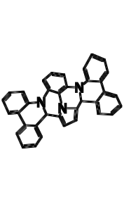 c1ccc2c(c1)-c1ccccc1N1c3cccc4c3-n3c(ccc3C3c5ccccc5-c5ccccc5N43)C21